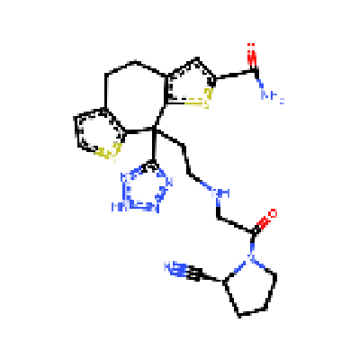 N#C[C@@H]1CCCN1C(=O)CNCCC1(c2nn[nH]n2)c2sccc2CCc2cc(C(N)=O)sc21